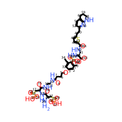 Cc1cc(OCCCC(=O)NCCNC(=O)C(CS(=O)(=O)O)NC(=O)[C@@H](N)CS(=O)(=O)O)cc(C)c1S(=O)(=O)N[C@@H](CNC(=O)c1ccc(CCc2ccc3c(n2)NCCC3)s1)C(=O)O